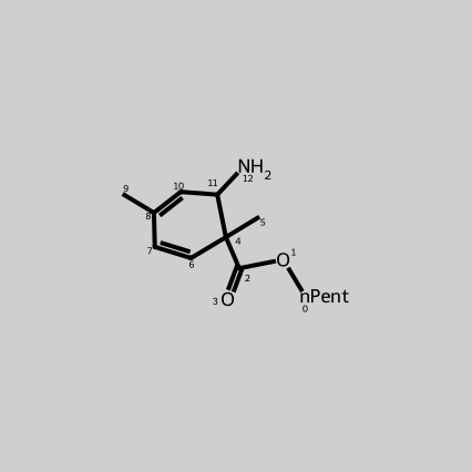 CCCCCOC(=O)C1(C)C=CC(C)=CC1N